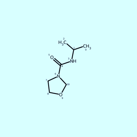 CC(C)NC(=O)N1CCOC1